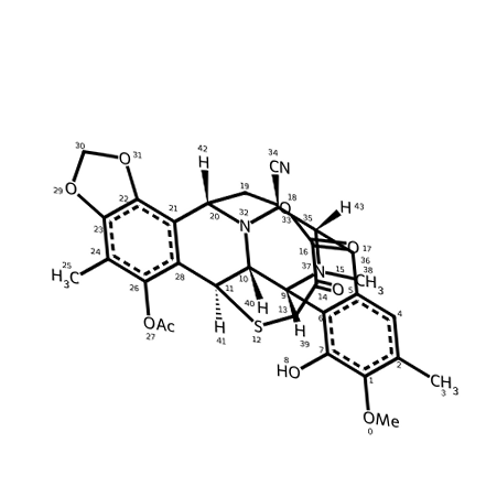 COc1c(C)cc2c(c1O)[C@@H]1[C@@H]3[C@H]4SCC(=O)C(=O)OC[C@@H](c5c6c(c(C)c(OC(C)=O)c54)OCO6)N3[C@@H](C#N)[C@H](C2)N1C